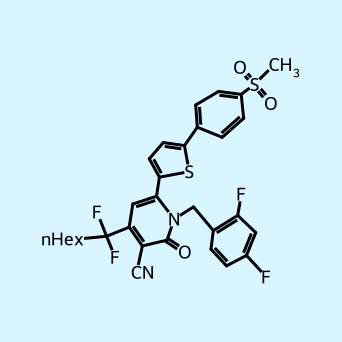 CCCCCCC(F)(F)c1cc(-c2ccc(-c3ccc(S(C)(=O)=O)cc3)s2)n(Cc2ccc(F)cc2F)c(=O)c1C#N